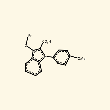 COc1ccc(-n2c(C(=O)O)c(OC(C)C)c3ccccc32)cc1